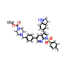 Cc1ccc(S(=O)(=O)n2cc(-c3ccc4c(c3)CCN4)c3cc(-c4ccc(CN5CCN(C(=O)OC(C)(C)C)CC5)cc4)cnc32)cc1